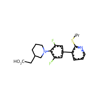 CC(C)Sc1ncccc1-c1cc(F)c(N2CCCC(CC(=O)O)C2)c(F)c1